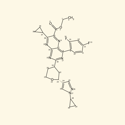 CCOC(=O)c1nc2c(-c3ccc(F)cc3F)nc(C3CCO[C@@H](c4cnn(C5CC5)c4)C3)nc2nc1C1CC1